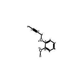 CC#CCOc1ccccc1OC